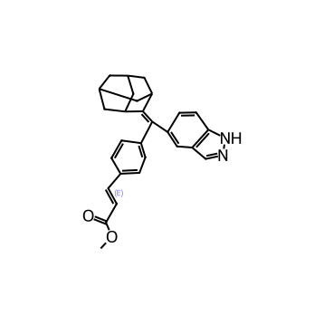 COC(=O)/C=C/c1ccc(C(=C2C3CC4CC(C3)CC2C4)c2ccc3[nH]ncc3c2)cc1